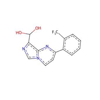 OC(O)c1ncn2ccc(-c3ccccc3C(F)(F)F)nc12